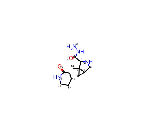 NNC(=O)C1NCC2CC21C[C@@H]1CCCNC1=O